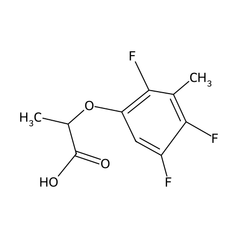 Cc1c(F)c(F)cc(OC(C)C(=O)O)c1F